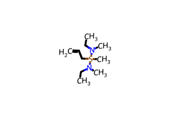 C=CCS(C)(N(C)CC)N(C)CC